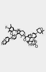 Cc1cc(-n2nc3c(c2-n2ccn(-c4ccn5cncc5c4)c2=O)[C@H](C)N(C(=O)c2cn4cc([C@H]5CCOC(C)(C)C5)ccc4c2C2(c4noc(=O)[nH]4)CC2)CC3)cc(C)c1F